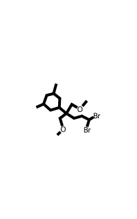 COCC(CCC(Br)Br)(COC)C1CC(C)CC(C)C1